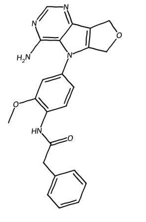 COc1cc(-n2c3c(c4ncnc(N)c42)COC3)ccc1NC(=O)Cc1ccccc1